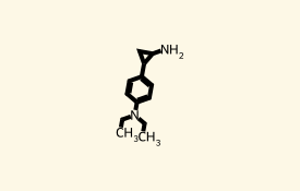 CCN(CC)c1ccc(C2CC2N)cc1